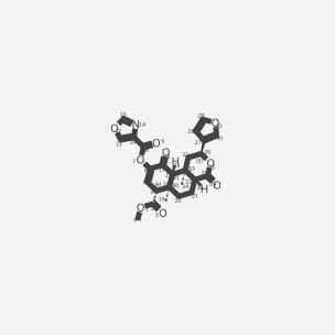 COC(=O)[C@@H]1C=C(OC(=O)c2cocn2)C(=O)[C@H]2[C@@]1(C)CC[C@H]1C(=O)O[C@H](c3ccoc3)C[C@]21C